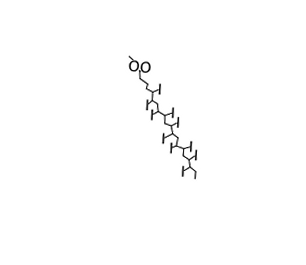 CCOC(=O)CCCC(I)C(I)CC(I)C(I)CC(I)C(I)CC(I)C(I)CC(I)C(I)CC